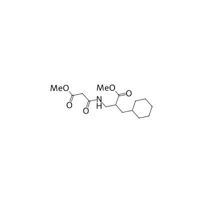 COC(=O)CC(=O)NCC(CC1CCCCC1)C(=O)OC